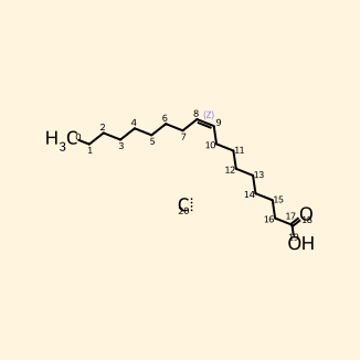 CCCCCCCC/C=C\CCCCCCCC(=O)O.[C]